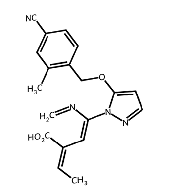 C=N/C(=C\C(=C/C)C(=O)O)n1nccc1OCc1ccc(C#N)cc1C